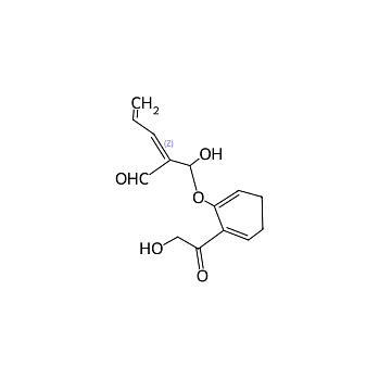 C=C/C=C(\C=O)C(O)OC1=CCCC=C1C(=O)CO